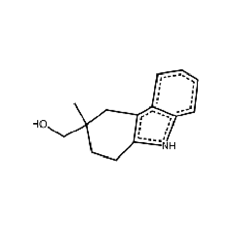 CC1(CO)CCc2[nH]c3ccccc3c2C1